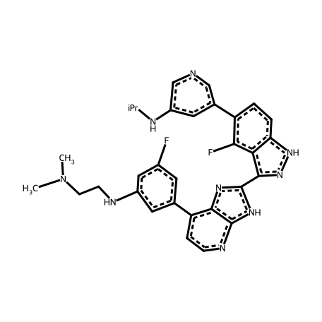 CC(C)Nc1cncc(-c2ccc3[nH]nc(-c4nc5c(-c6cc(F)cc(NCCN(C)C)c6)ccnc5[nH]4)c3c2F)c1